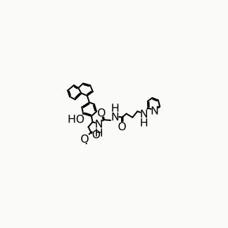 COC(=O)CC(NC(=O)CNC(=O)CCCNc1ccccn1)c1ccc(-c2cccc3ccccc23)cc1O